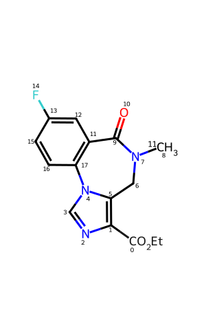 CCOC(=O)c1ncn2c1CN([11CH3])C(=O)c1cc(F)ccc1-2